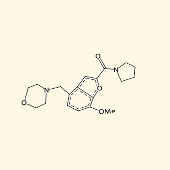 COc1ccc(CN2CCOCC2)c2cc(C(=O)N3CCCC3)oc12